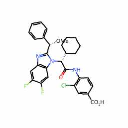 CO[C@@H](c1ccccc1)c1nc2cc(F)c(F)cc2n1[C@@H](C(=O)Nc1ccc(C(=O)O)cc1Cl)C1CCCCC1